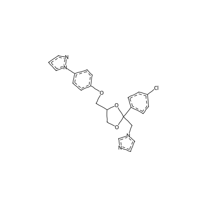 Clc1ccc(C2(Cn3ccnc3)OCC(COc3ccc(-n4cccn4)cc3)O2)cc1